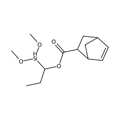 CCC(OC(=O)C1CC2C=CC1C2)[SiH](OC)OC